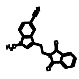 Cn1cc(CCN2C(=O)c3ccccc3C2=O)c2cc(C#N)ccc21